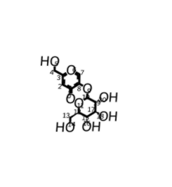 O=c1cc(CO)occ1OC1O[C@H](CO)[C@@H](O)[C@H](O)[C@H]1O